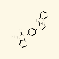 CCn1c(=O)n(-c2ccc(-n3ccn4c5ccccc5nc34)cc2)c2ncccc21